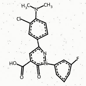 CN(C)c1ccc(-c2cc(C(=O)O)c(=O)n(-c3cccc(F)c3)n2)cc1Cl